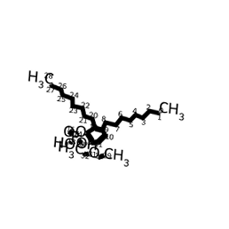 CCCCCCCCCc1cccc(OP(=O)(O)O)c1CCCCCCCCC.CCOCC